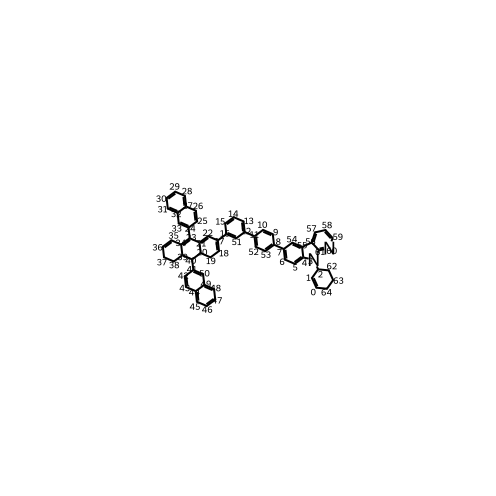 C1=CC(n2c3ccc(-c4ccc(-c5cccc(C6=CCC7C(=C6)C(c6ccc8ccccc8c6)=C6C=CCCC6C7c6ccc7ccccc7c6)c5)cc4)cc3c3cccnc32)CCC1